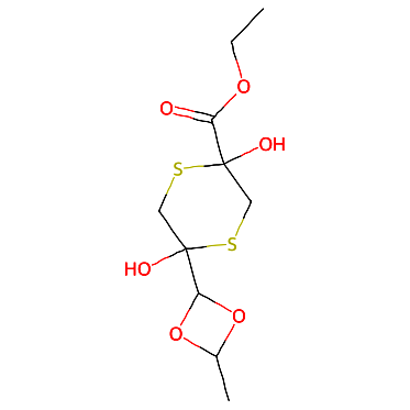 CCOC(=O)C1(O)CSC(O)(C2OC(C)O2)CS1